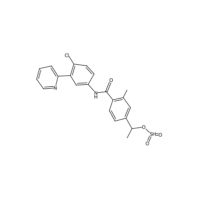 Cc1cc(C(C)O[SH](=O)=O)ccc1C(=O)Nc1ccc(Cl)c(-c2ccccn2)c1